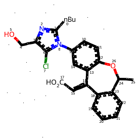 CCCCc1nc(CO)c(Cl)n1-c1ccc2c(c1)C(=CC(=O)O)c1ccccc1C(C)O2